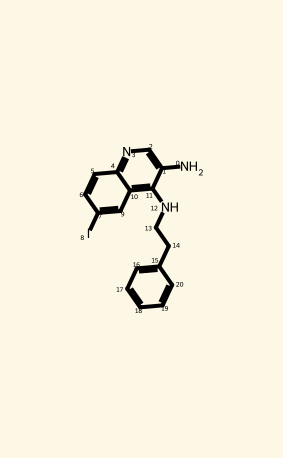 Nc1cnc2ccc(I)cc2c1NCCc1ccccc1